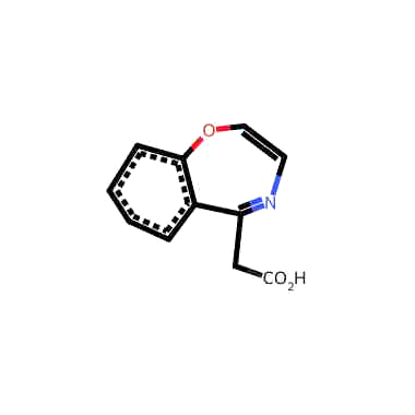 O=C(O)CC1=NC=COc2ccccc21